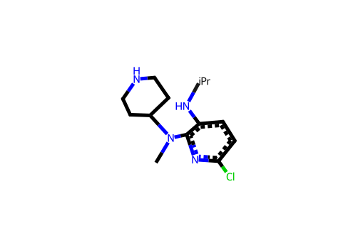 CC(C)Nc1ccc(Cl)nc1N(C)C1CCNCC1